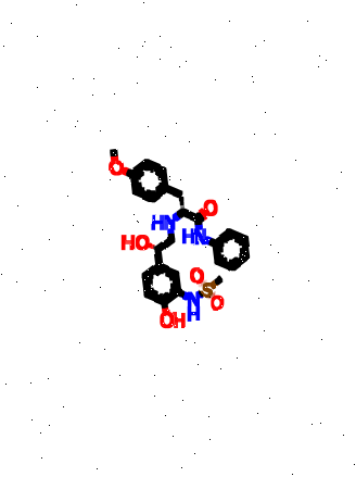 COc1ccc(C[C@@H](NC[C@@H](O)c2ccc(O)c(NS(C)(=O)=O)c2)C(=O)Nc2ccccc2)cc1